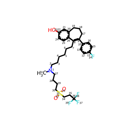 CN(CCCCCCC1=C(c2ccc(F)cc2)CCCc2cc(O)ccc21)CCCCS(=O)(=O)CCC(F)(F)F